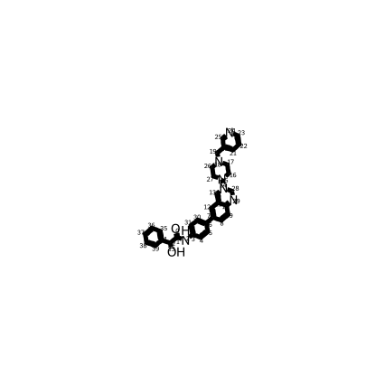 O=C(Nc1ccc(-c2ccc3c(c2)=CN(N2CCN(Cc4cccnc4)CC2)CN=3)cc1)C(O)c1ccccc1